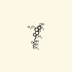 CC[C@H]1CC2C3CCC(CCNC(=O)NSC)C3(C)CC[C@@H]2C2(C)CC[C@@H](O)CC12